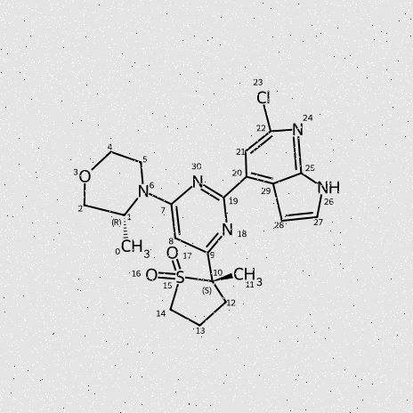 C[C@@H]1COCCN1c1cc([C@]2(C)CCCS2(=O)=O)nc(-c2cc(Cl)nc3[nH]ccc23)n1